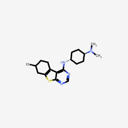 CCC1CCc2c(sc3ncnc(N[C@H]4CC[C@H](N(C)C)CC4)c23)C1